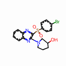 O=S(=O)(c1ccc(Br)cc1)c1nc2ccccc2nc1N1CCCC(O)C1